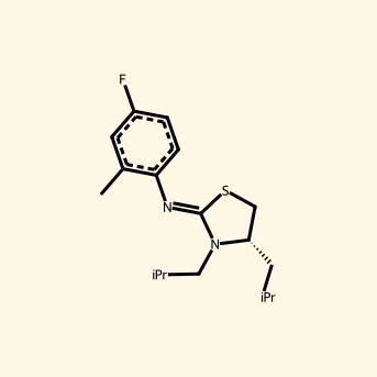 Cc1cc(F)ccc1N=C1SC[C@H](CC(C)C)N1CC(C)C